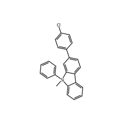 C[Si]1(c2ccccc2)c2ccccc2-c2ccc(-c3ccc(Cl)cc3)cc21